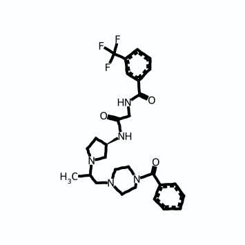 CC(CN1CCN(C(=O)c2ccccc2)CC1)N1CC[C@@H](NC(=O)CNC(=O)c2cccc(C(F)(F)F)c2)C1